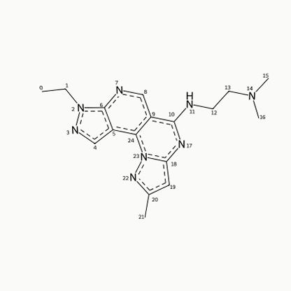 CCn1ncc2c1ncc1c(NCCN(C)C)nc3cc(C)nn3c12